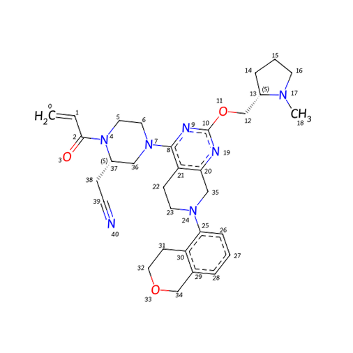 C=CC(=O)N1CCN(c2nc(OC[C@@H]3CCCN3C)nc3c2CCN(c2cccc4c2CCOC4)C3)C[C@@H]1CC#N